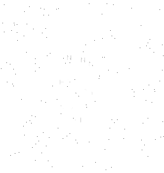 Cn1c(=O)c(C(=O)NCC(=O)O)c(O)c2nccn21